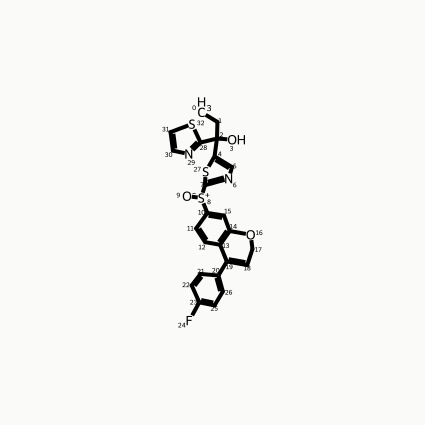 CCC(O)(c1cnc([S+]([O-])c2ccc3c(c2)OCC=C3c2ccc(F)cc2)s1)c1nccs1